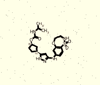 CC(C)NC(=O)O[C@@H]1CC[C@H](c2cc(Nc3ccc4c(c3)OCCNS4(=O)=O)n[nH]2)C1